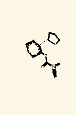 CN(C)C(=O)Oc1ccccc1[C@@H]1CCC[N]1